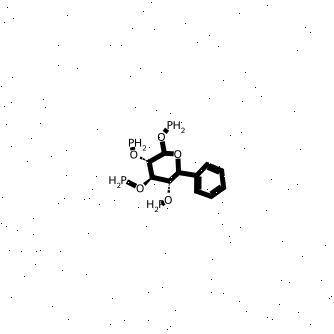 POC1OC(c2ccccc2)[C@H](OP)[C@@H](OP)[C@@H]1OP